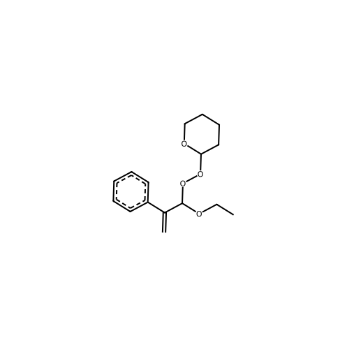 C=C(c1ccccc1)C(OCC)OOC1CCCCO1